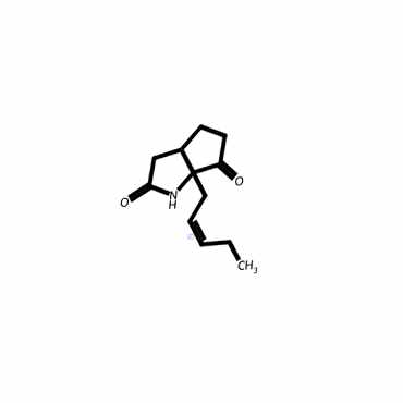 CC/C=C\CC12NC(=O)CC1CCC2=O